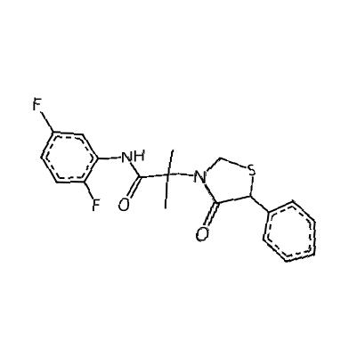 CC(C)(C(=O)Nc1cc(F)ccc1F)N1CSC(c2ccccc2)C1=O